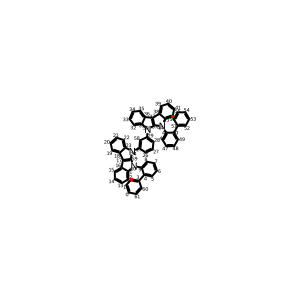 c1ccc(-c2ccccc2-n2c3ccccc3c3c4ccccc4n(-c4cccc(-n5c6ccccc6c6c7ccccc7n(-c7ccccc7-c7ccccc7)c65)c4)c32)cc1